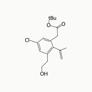 C=C(C)c1c(CCO)cc(Cl)cc1CC(=O)OC(C)(C)C